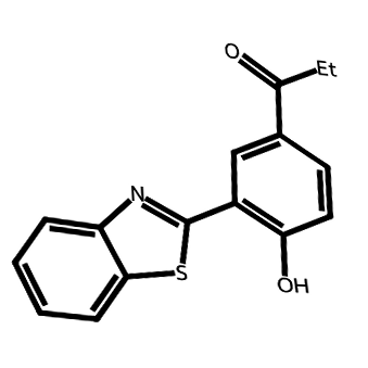 CCC(=O)c1ccc(O)c(-c2nc3ccccc3s2)c1